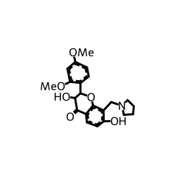 COc1ccc(C2Oc3c(ccc(O)c3CN3CCCC3)C(=O)C2O)c(OC)c1